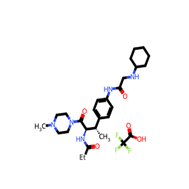 CCC(=O)N[C@@H](C(=O)N1CCN(C)CC1)[C@@H](C)c1ccc(NC(=O)CNC2CCCCC2)cc1.O=C(O)C(F)(F)F